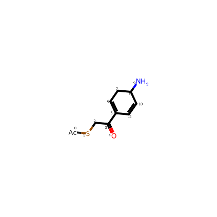 CC(=O)SCC(=O)C1=CCC(N)C=C1